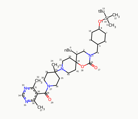 CCCCC1CN(CC2CCC(O[Si](C)(C)C(C)(C)C)CC2)C(=O)OC12CCN(C1(C)CCN(C(=O)c3c(C)ncnc3C)CC1)CC2